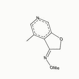 CON=C1COc2cncc(C)c21